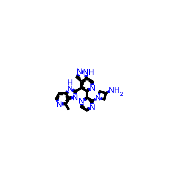 Cc1nccc2[nH]c(-c3c(-c4nccnc4N4CC(N)C4)ncc4[nH]ncc34)nc12